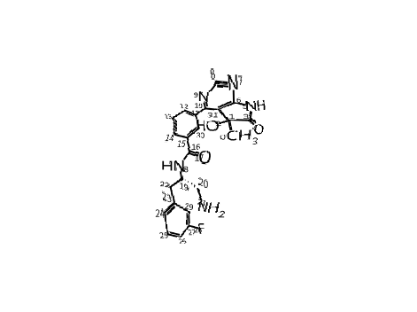 CC1(O)C(=O)Nc2ncnc(-c3cccc(C(=O)N[C@H](CN)Cc4cccc(F)c4)c3)c21